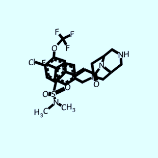 CN(C)S(=O)(=O)c1cc(Cl)c(OC(F)(F)F)cc1C=CC(=O)N1C2CNCC1CN(Cc1ccc(F)cc1)C2